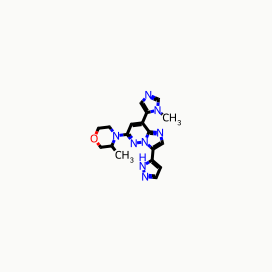 CC1COCCN1c1cc(-c2cncn2C)c2ncc(-c3ccn[nH]3)n2n1